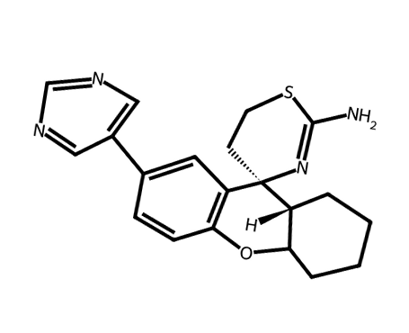 NC1=N[C@]2(CCS1)c1cc(-c3cncnc3)ccc1OC1CCCC[C@H]12